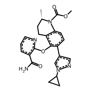 COC(=O)N1c2ccc(-c3cnn(C4CC4)c3)c(Oc3ncccc3C(N)=O)c2CC[C@@H]1C